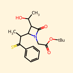 CC(O)C1C(=O)N(CC(=O)OC(C)(C)C)C1C(C)C(=S)c1ccccc1